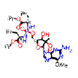 COc1nc(N)nc2c1ncn2[C@@H]1O[C@H](COP(=O)(N[C@@H](CC(C)C)C(=O)OC(C)C)N[C@H](CC(C)C)C(=O)OC(C)C)C(O)C1(C)O